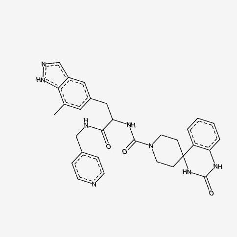 Cc1cc(CC(NC(=O)N2CCC3(CC2)NC(=O)Nc2ccccc23)C(=O)NCc2ccncc2)cc2cn[nH]c12